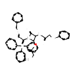 O=C(COc1ccccc1)NC1C(=O)N(C(C(=O)OCc2ccccc2)=P(c2ccccc2)(c2ccccc2)c2ccccc2)C1SC(=O)CO